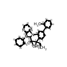 C=CC1(C)c2ccc(-c3ccccc3C)cc2N2c3nccnc3N(c3ccccc3)C2C1(C)C